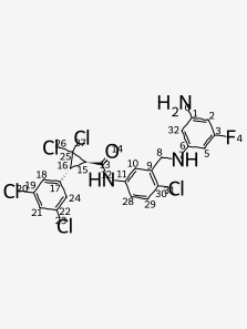 Nc1cc(F)cc(NCc2cc(NC(=O)[C@H]3[C@H](c4cc(Cl)cc(Cl)c4)C3(Cl)Cl)ccc2Cl)c1